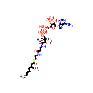 C=C(CCCCC)CC(=O)SCCNC(=O)CCNC(=O)[C@H](O)C(C)(C)COP(=O)(O)OP(=O)(O)OC[C@H]1O[C@@H](n2cnc3c(N)ncnc32)[C@H](O)[C@@H]1OP(=O)(O)O